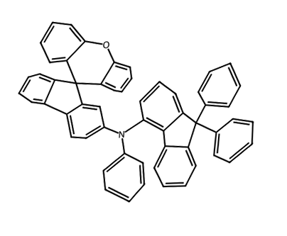 c1ccc(N(c2ccc3c(c2)C2(c4ccccc4Oc4ccccc42)c2ccccc2-3)c2cccc3c2-c2ccccc2C3(c2ccccc2)c2ccccc2)cc1